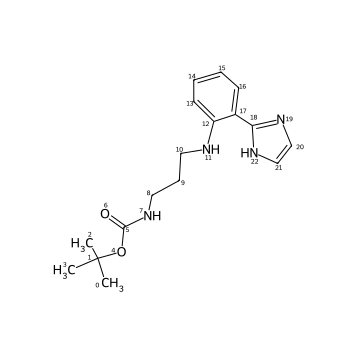 CC(C)(C)OC(=O)NCCCNc1ccccc1-c1ncc[nH]1